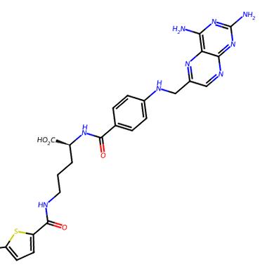 Nc1nc(N)c2nc(CNc3ccc(C(=O)N[C@@H](CCCNC(=O)c4ccc(N)s4)C(=O)O)cc3)cnc2n1